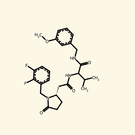 COc1cccc(CNC(=O)C(NC(=O)C[C@@H]2CCC(=O)N2Cc2cccc(F)c2F)C(C)C)c1